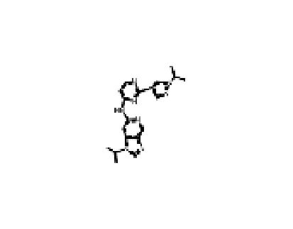 CC(C)n1cc(-c2nccc(Nc3cc4c(cn3)ncn4C(C)C)n2)cn1